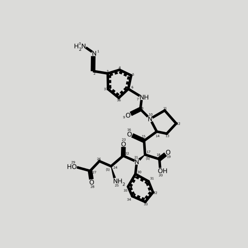 NN=Cc1ccc(NC(=O)N2CCCC2C(=O)[C@@H](C(=O)O)N(C(=O)[C@@H](N)CC(=O)O)c2ccccc2)cc1